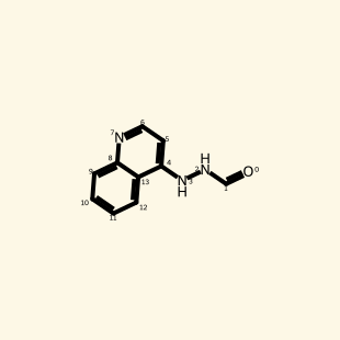 O=CNNc1ccnc2ccccc12